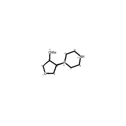 COC1COCC1N1CCNCC1